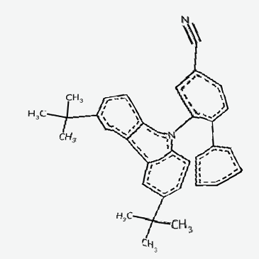 CC(C)(C)c1ccc2c(c1)c1cc(C(C)(C)C)ccc1n2-c1cc(C#N)ccc1-c1ccccc1